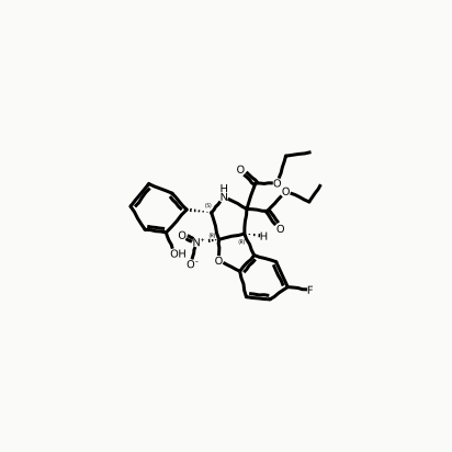 CCOC(=O)C1(C(=O)OCC)N[C@@H](c2ccccc2O)[C@]2([N+](=O)[O-])Oc3ccc(F)cc3[C@H]12